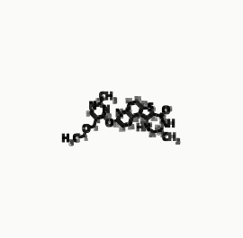 CCOCc1cnc(C)nc1Oc1ccc2c(ccc3sc4c(c32)NC[C@@H](C)NC4=O)n1